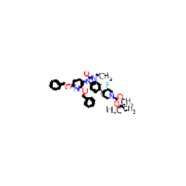 CCn1c(=O)n(-c2ccc(OCc3ccccc3)nc2OCc2ccccc2)c2ccc([C@H]3CCN(C(=O)OC(C)(C)C)C[C@@H]3F)cc21